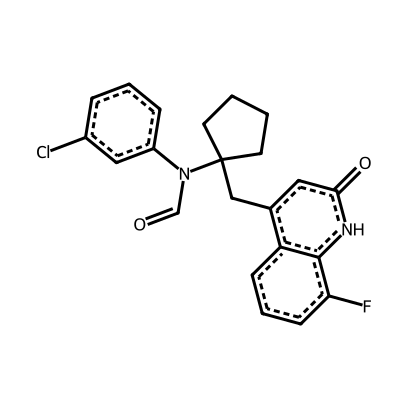 O=CN(c1cccc(Cl)c1)C1(Cc2cc(=O)[nH]c3c(F)cccc23)CCCC1